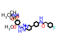 COc1cc(S(=O)(=O)NC(C)(C)C)ccc1Nc1nc2ccc(-c3ccc(NC(=O)Cc4ccc(F)cc4)cc3)cn2n1